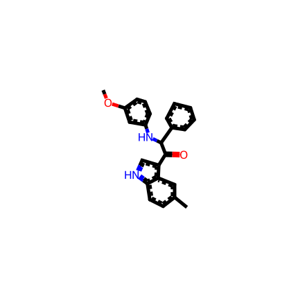 COc1cccc(NC(C(=O)c2c[nH]c3ccc(C)cc23)c2ccccc2)c1